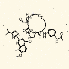 COc1ccc2c(O[C@@H]3C[C@H]4C(=O)N[C@]5(C=O)C[C@@H]5/C=C\CCCCC[C@H](Nc5cccc(NC(C)=O)c5)C(=O)N4C3)cc(-c3nc(C(C)C)cs3)nc2c1C